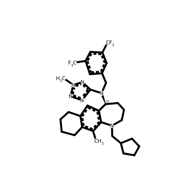 Cc1c2c(cc3c1N(CC1CCCC1)CCC[C@@H]3N(Cc1cc(C(F)(F)F)cc(C(F)(F)F)c1)c1nnn(C)n1)CCCC2